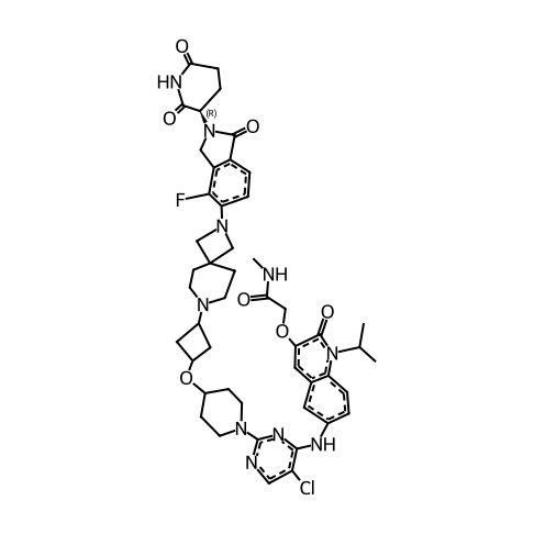 CNC(=O)COc1cc2cc(Nc3nc(N4CCC(OC5CC(N6CCC7(CC6)CN(c6ccc8c(c6F)CN([C@@H]6CCC(=O)NC6=O)C8=O)C7)C5)CC4)ncc3Cl)ccc2n(C(C)C)c1=O